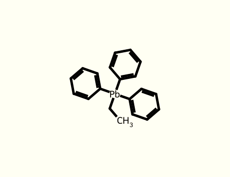 C[CH2][Pb]([c]1ccccc1)([c]1ccccc1)[c]1ccccc1